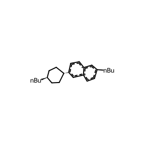 CCCCc1ccc2cc([C@H]3CC[C@H](CCCC)CC3)ccc2c1